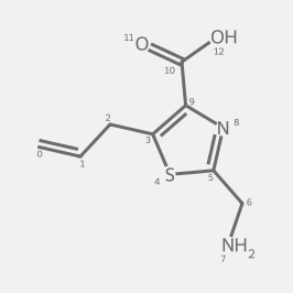 C=CCc1sc(CN)nc1C(=O)O